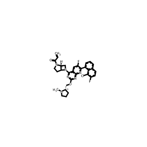 C=CC(=O)N1CCC2[C@H]1CN2c1nc(OC[C@@H]2CCCN2C)nc2nc(-c3cccc4ccc(F)c(Cl)c34)c(F)cc12